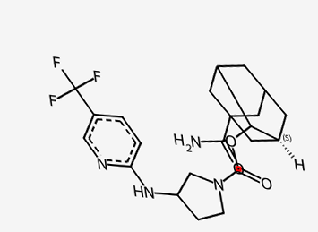 NC(=O)C12CC3CC(C1)C(OC(=O)N1CCC(Nc4ccc(C(F)(F)F)cn4)C1)[C@@H](C3)C2